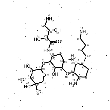 C[C@@H]1C(O)[C@@H](OC2C(O)C(O[C@H]3O[C@H](CCCCN)CCC3N)[C@@H](N)C[C@H]2NC(=O)[C@@H](O)[C@@H](O)CN)OCC1(C)O